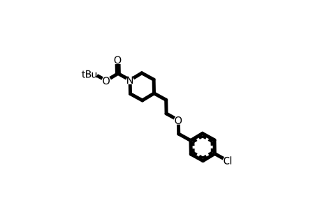 CC(C)(C)OC(=O)N1CCC(CCOCc2ccc(Cl)cc2)CC1